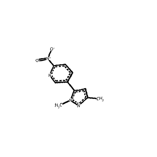 Cc1cc(-c2ccc([N+](=O)[O-])nc2)n(C)n1